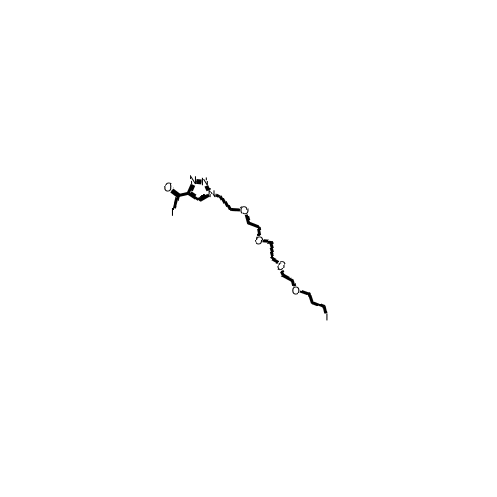 O=C(I)c1cn(CCOCCOCCOCCOCCCI)nn1